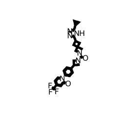 O=C(N1CC(c2ccc(-n3ccc(C(F)(F)F)cc3=O)cc2)C1)N1CC2(CC(c3nnc(C4CC4)[nH]3)C2)C1